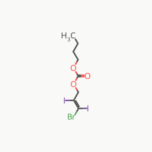 CCCCOC(=O)OCC(I)=C(Br)I